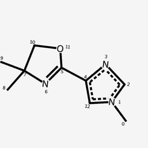 Cn1cnc(C2=NC(C)(C)CO2)c1